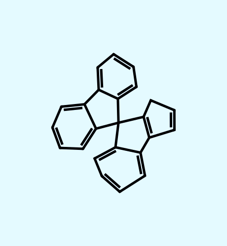 C1=CC2=C(C1)C1(c3ccccc32)c2ccccc2-c2ccccc21